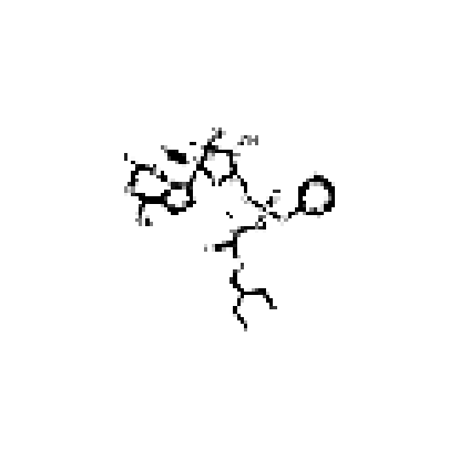 CCC(CC)COC(=O)[C@H](C)NP(=O)(OC[C@H]1O[C@@](C#N)(c2ccc3c(N)nc(F)nn23)[C@](C)(O)[C@@H]1O)Oc1ccccc1